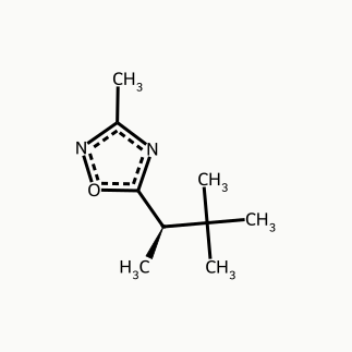 Cc1noc([C@H](C)C(C)(C)C)n1